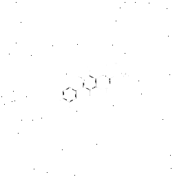 COC(=O)[C@@H](OC(C)(C)C)c1c(Cl)c(C)c(-c2ccc(C)c(C)c2)[n+]([O-])c1C